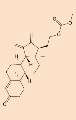 C=C1C(=C)[C@H]2[C@@H]3CCC4=CC(=O)CC[C@]4(C)[C@H]3CC[C@]2(C)[C@@H]1CCOC(=O)OC